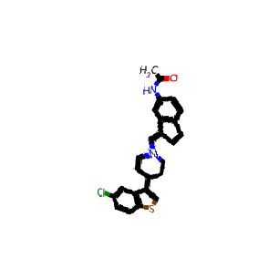 CC(=O)Nc1ccc2c(c1)C(CN1CCC(c3csc4ccc(Cl)cc34)CC1)CC2